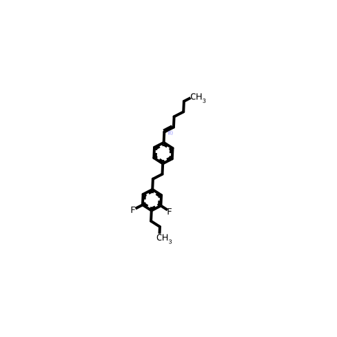 CCCC/C=C/c1ccc(CCc2cc(F)c(CCC)c(F)c2)cc1